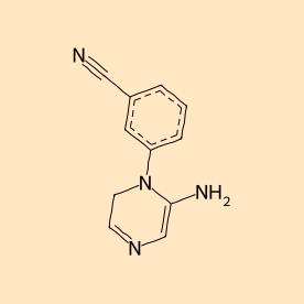 N#Cc1cccc(N2CC=NC=C2N)c1